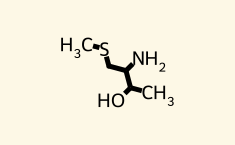 CSCC(N)C(C)O